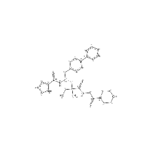 CC(CO)(C[C@@H](Cc1ccc(-c2ccccc2)cc1)NC(=O)c1cnn[nH]1)C(=O)OCC(=O)N1CCOCC1